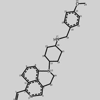 C=Cc1ncc2c3c(cccc13)N(C1CCC(NCc3ccc(OC)cc3)CC1)CC2